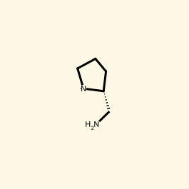 NC[C@H]1CCC[N]1